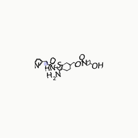 Nc1c(NC(=O)/C=C/c2cccnc2)sc2c1CCC(COC(=O)N1CC(O)C1)C2